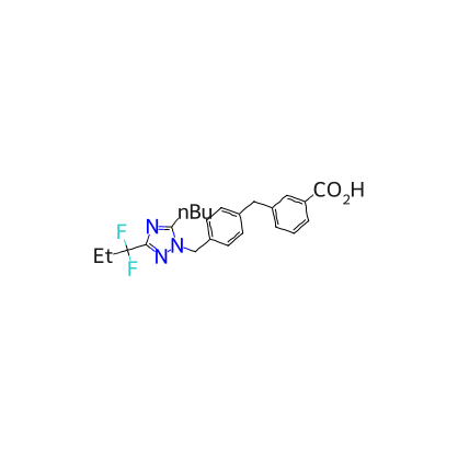 CCCCc1nc(C(F)(F)CC)nn1Cc1ccc(Cc2cccc(C(=O)O)c2)cc1